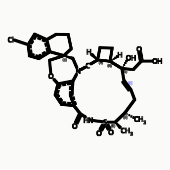 C[C@@H]1[C@@H](C)C/C=C/[C@](O)(CC(=O)O)[C@@H]2CC[C@H]2CN2C[C@@]3(CCCc4cc(Cl)ccc43)COc3ccc(cc32)C(=O)NS1(=O)=O